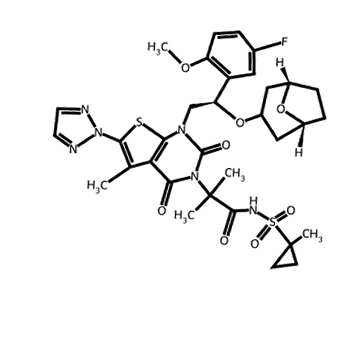 COc1ccc(F)cc1[C@H](Cn1c(=O)n(C(C)(C)C(=O)NS(=O)(=O)C2(C)CC2)c(=O)c2c(C)c(-n3nccn3)sc21)OC1C[C@H]2CC[C@@H](C1)O2